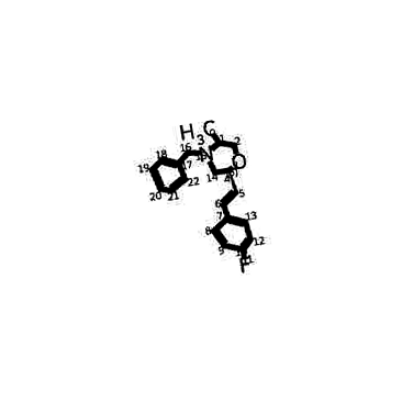 CC1CO[C@@H](C=Cc2ccc(F)cc2)CN1Cc1ccccc1